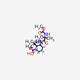 COC(=O)NC(C)(C)C(=O)NC1CCCN(C(=O)O)C1C(C)(C)C